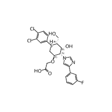 O=C(O)CO[C@H]1C[SH](c2ccc(Cl)c(Cl)c2)[C@H](CO)[C@H](O)[C@@H]1n1cnc(-c2cccc(F)c2)c1